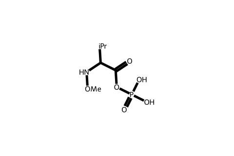 CONC(C(=O)OP(=O)(O)O)C(C)C